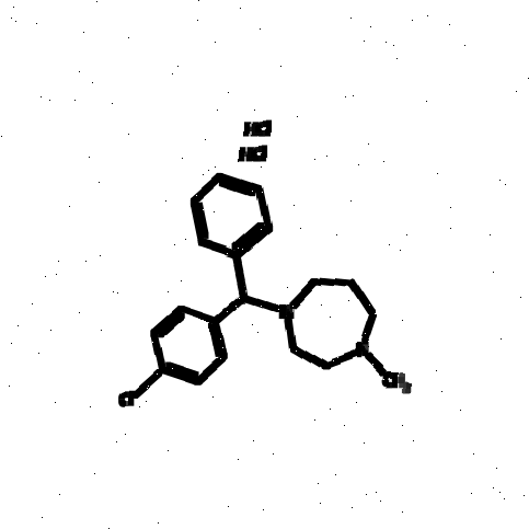 CN1CCCN(C(c2ccccc2)c2ccc(Cl)cc2)CC1.Cl.Cl